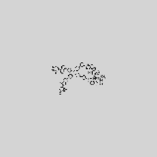 C[C@@H]1CNc2c(sc3ccc4nc(-c5cccc(N6CCC(CN7CCC(c8cccc9c(N%10CCC(=O)NC%10=O)cncc89)CC7C7CN(c8ccc9c(c8)CN(C8CCC(=O)NC8=O)C9=O)CCN7CC7CCN(c8ccc(-c9ccc%10c(ccc%11sc%12c(c%11%10)NC[C@@H](C)NC%12O)n9)cc8)CC7)CC6)c5)ccc4c23)C(=O)N1